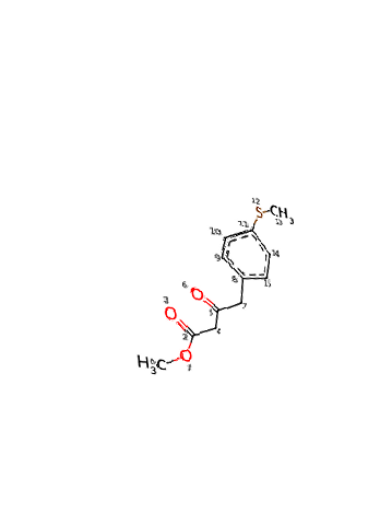 COC(=O)CC(=O)Cc1ccc(SC)cc1